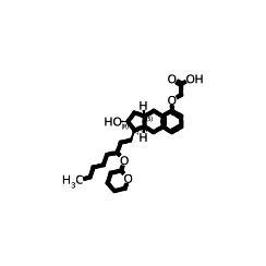 CCCCCC(CC[C@@H]1[C@H]2Cc3cccc(OCC(=O)O)c3C[C@H]2C[C@H]1O)OC1CCCCO1